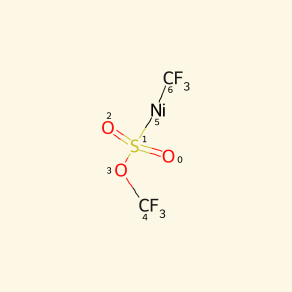 O=[S](=O)(OC(F)(F)F)[Ni][C](F)(F)F